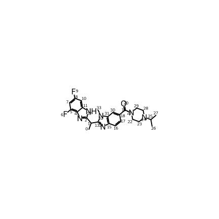 CC(c1nc2c(F)cc(F)cc2[nH]1)c1nc2ccc(C(=O)N3CCN(C(C)C)CC3)cc2n1C